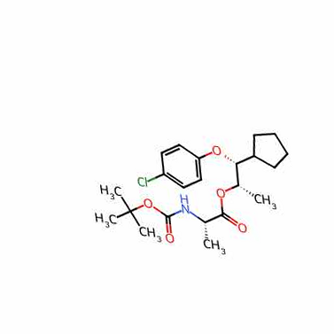 C[C@H](NC(=O)OC(C)(C)C)C(=O)O[C@@H](C)[C@H](Oc1ccc(Cl)cc1)C1CCCC1